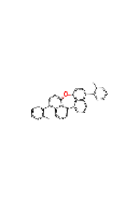 Cc1ccccc1-c1ccc2oc3ccc(-c4ccccc4C)c4cccc(c5cccc1c25)c34